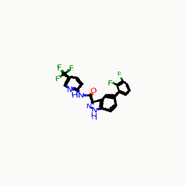 O=C(Nc1ccc(C(F)(F)F)cn1)c1n[nH]c2ccc(-c3cccc(F)c3F)cc12